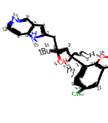 CC(C)(CC(O)(Cc1cc2cnccc2[nH]1)C(C)(C)C)c1cc(Cl)cc2c1OCC2